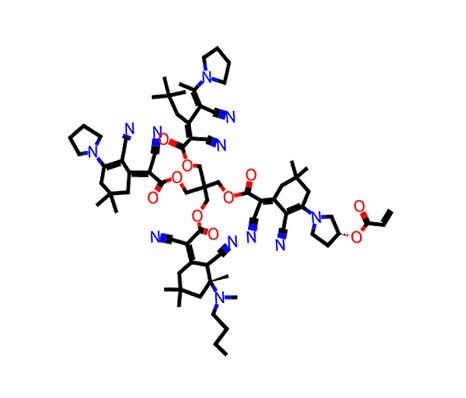 C=CC(=O)O[C@@H]1CCN(C2=C(C#N)/C(=C(\C#N)C(=O)OCC(COC(=O)/C(C#N)=C3/CC(C)(C)C[C@@](C)(N(C)CCCC)C3C#N)(COC(=O)/C(C#N)=C3\CC(C)(C)CC(N4CCCC4)=C3C#N)COC(=O)/C(C#N)=C(CC(C)(C)C)/C(C#N)=C(\C)N3CCCC3)CC(C)(C)C2)C1